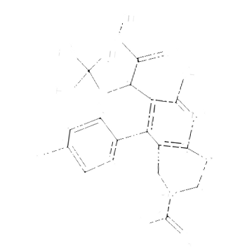 COC(=O)C(OC(C)(C)C)c1c(C)nc2c(c1-c1ccc(C)cc1)CN(C(C)=O)CC2